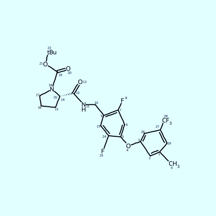 Cc1cc(Oc2cc(F)c(CNC(=O)[C@@H]3CCCN3C(=O)OC(C)(C)C)cc2F)cc(C(F)(F)F)c1